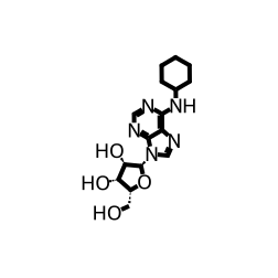 OC[C@H]1O[C@@H](n2cnc3c(NC4CCCCC4)ncnc32)[C@@H](O)[C@H]1O